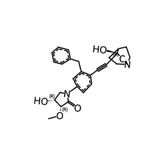 CO[C@H]1C(=O)N(c2ccc(C#C[C@@]3(O)CN4CCC3CC4)c(Cc3ccccc3)c2)C[C@H]1O